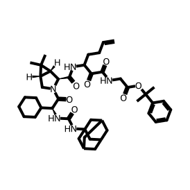 C=CCCC(NC(=O)[C@@H]1[C@@H]2[C@H](CN1C(=O)[C@@H](NC(=O)NC13CC4CC(CC(C4)C1)C3)C1CCCCC1)C2(C)C)C(=O)C(=O)NCC(=O)OC(C)(C)c1ccccc1